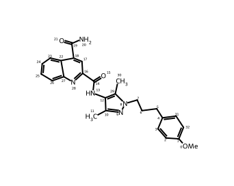 COc1ccc(CCCn2nc(C)c(NC(=O)c3cc(C(N)=O)c4ccccc4n3)c2C)cc1